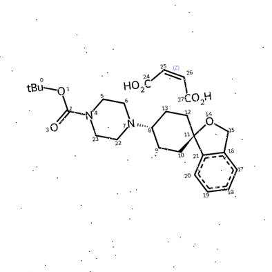 CC(C)(C)OC(=O)N1CCN([C@H]2CC[C@@]3(CC2)OCc2ccccc23)CC1.O=C(O)/C=C\C(=O)O